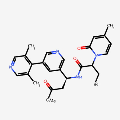 COC(=O)C[C@H](NC(=O)C(CC(C)C)n1ccc(C)cc1=O)c1cncc(-c2c(C)cncc2C)c1